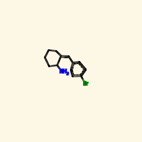 NC1CCCC/C1=C/c1ccc(Br)cc1